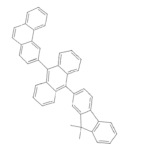 CC1(C)c2cc(C#N)ccc2-c2ccc(-c3c4ccccc4c(-c4ccc5ccc6ccccc6c5c4)c4ccccc34)cc21